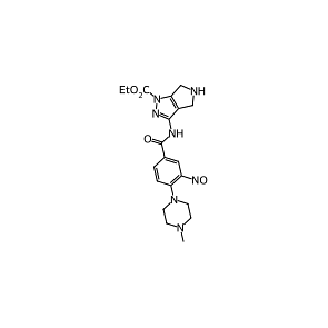 CCOC(=O)n1nc(NC(=O)c2ccc(N3CCN(C)CC3)c(N=O)c2)c2c1CNC2